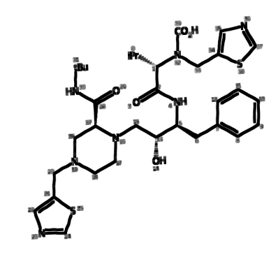 CC(C)[C@@H](C(=O)N[C@@H](Cc1ccccc1)[C@H](O)CN1CCN(Cc2cncs2)C[C@H]1C(=O)NC(C)(C)C)N(Cc1cncs1)C(=O)O